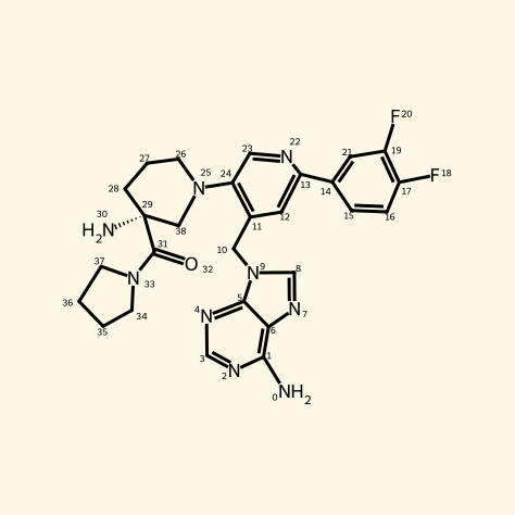 Nc1ncnc2c1ncn2Cc1cc(-c2ccc(F)c(F)c2)ncc1N1CCC[C@](N)(C(=O)N2CCCC2)C1